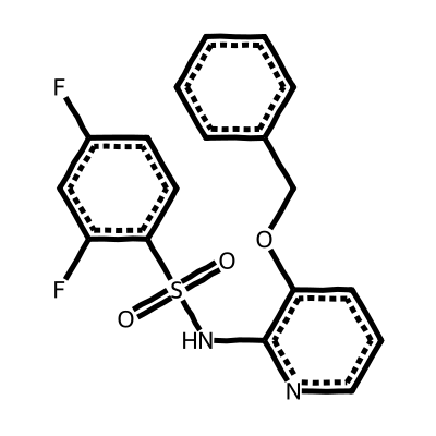 O=S(=O)(Nc1ncccc1OCc1ccccc1)c1ccc(F)cc1F